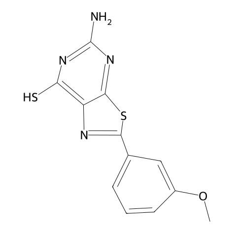 COc1cccc(-c2nc3c(S)nc(N)nc3s2)c1